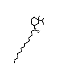 CCCCCCCCCCCC[S+]([O-])C1CCCC(C)(C(C)C)C1